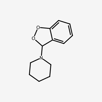 c1ccc2c(c1)OOC2N1CCCCC1